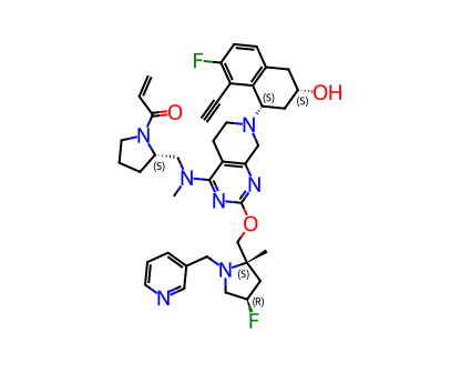 C#Cc1c(F)ccc2c1[C@@H](N1CCc3c(nc(OC[C@]4(C)C[C@@H](F)CN4Cc4cccnc4)nc3N(C)C[C@@H]3CCCN3C(=O)C=C)C1)C[C@@H](O)C2